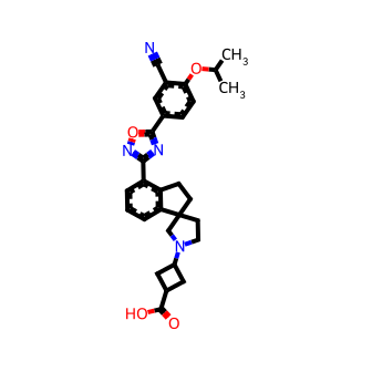 CC(C)Oc1ccc(-c2nc(-c3cccc4c3CCC43CCN(C4CC(C(=O)O)C4)C3)no2)cc1C#N